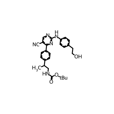 CC(CNC(=O)OC(C)(C)C)c1ccc(-c2nc(Nc3ccc(CCO)cc3)ncc2C#N)cc1